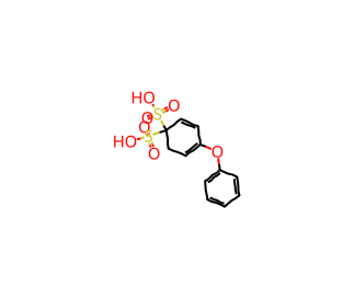 O=S(=O)(O)C1(S(=O)(=O)O)C=CC(Oc2ccccc2)=CC1